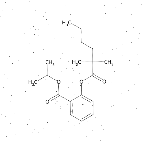 CCCCC(C)(C)C(=O)Oc1ccccc1C(=O)OC(C)C